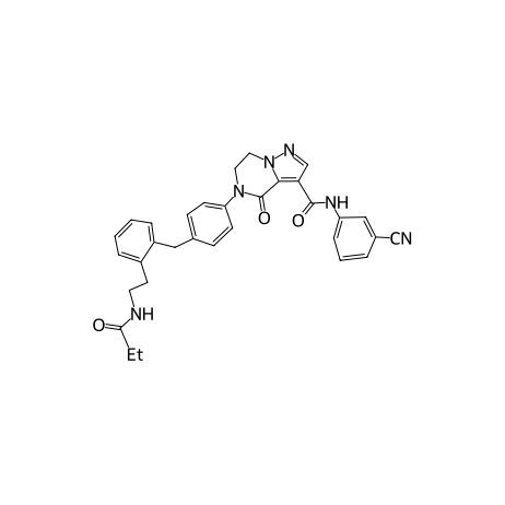 CCC(=O)NCCc1ccccc1Cc1ccc(N2CCn3ncc(C(=O)Nc4cccc(C#N)c4)c3C2=O)cc1